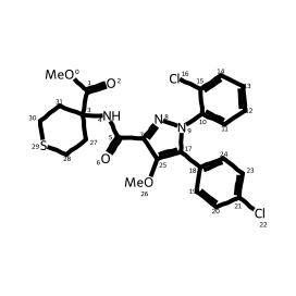 COC(=O)C1(NC(=O)c2nn(-c3ccccc3Cl)c(-c3ccc(Cl)cc3)c2OC)CCSCC1